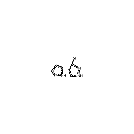 Sc1nc[nH]n1.c1cc[nH]c1